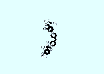 CN(C)C(=O)c1ccc(N2CCC(CC3CCN(C(=O)C(O)(c4cccc(OC(F)(F)F)c4)C(F)(F)F)CC3)CC2)nc1Cl